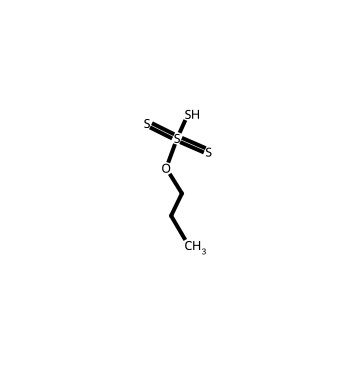 CCCOS(=S)(=S)S